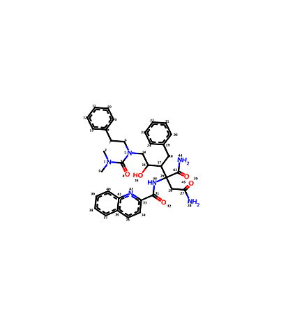 CN(C)C(=O)N(CCc1ccccc1)CC(O)C(Cc1ccccc1)C(CC(N)=O)(NC(=O)c1ccc2ccccc2n1)C(N)=O